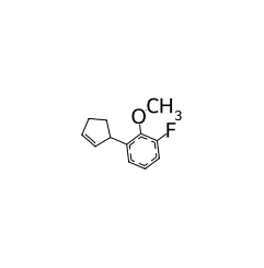 COc1c(F)cccc1C1C=CCC1